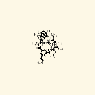 CCCCCCCCCC(=O)N[C@@H](CN)C(=O)N[C@H](C(=O)N[C@@H](C)C(=O)N[C@@H](CCCCN)C(=O)N[C@@H](C)B1OC2C[C@@H]3C[C@@H](C3(C)C)[C@]2(C)O1)[C@@H](C)O